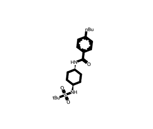 CCCCc1ccc(C(=O)N[C@H]2CC[C@H](NS(=O)(=O)C(C)(C)C)CC2)cc1